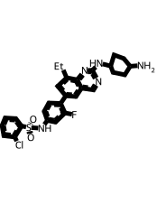 CCc1cc(-c2ccc(NS(=O)(=O)c3ccccc3Cl)cc2F)cc2cnc(NC3CCC(N)CC3)nc12